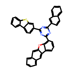 c1ccc2cc(-c3nc(-c4ccc5c(c4)sc4ccccc45)nc(-c4cccc5c4oc4cc6ccccc6cc45)n3)ccc2c1